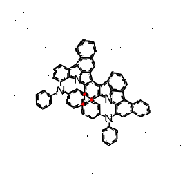 c1ccc(N(c2ccccc2)c2cc3ccccc3c3c4cccc5c6c7c8cc9ccccc9c9c%10cccc(N(c%11ccccc%11)c%11ccccc%11)c%10n(c7ccc6n(c23)c54)c89)cc1